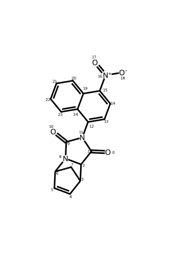 O=C1C2C3C=CC(C3)N2C(=O)N1c1ccc([N+](=O)[O-])c2ccccc12